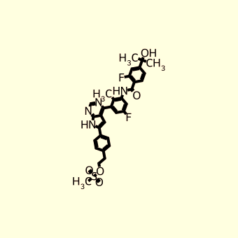 Cc1c(NC(=O)c2ccc(C(C)(C)O)cc2F)cc(F)cc1-c1ncnc2[nH]c(-c3ccc(CCOS(C)(=O)=O)cc3)cc12